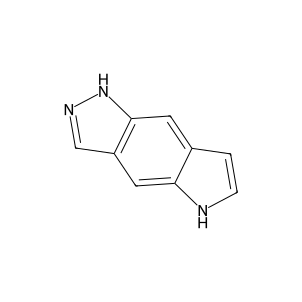 c1cc2cc3[nH]ncc3cc2[nH]1